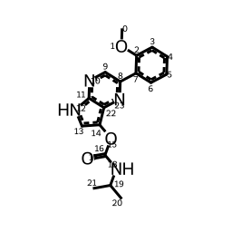 COc1ccccc1-c1cnc2[nH]cc(OC(=O)NC(C)C)c2n1